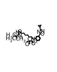 CC1(C(=O)N(CCCCCc2nc(C(C)(C)C)no2)c2cccc(-c3nc(C4CC4)no3)c2)COC1